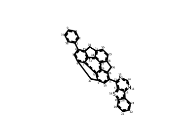 c1ccc(-c2cc3c4c5c(cc(-c6ncnc7c6sc6ccccc67)c6c5c5c(ccc7c5c4c2C7)C6)C3)cc1